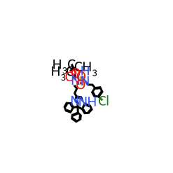 CC(C)(C)OC(=O)N(CCCc1c[nH]c(C(c2ccccc2)(c2ccccc2)c2ccccc2)n1)S(=O)(=O)NCCc1ccc(Cl)cc1